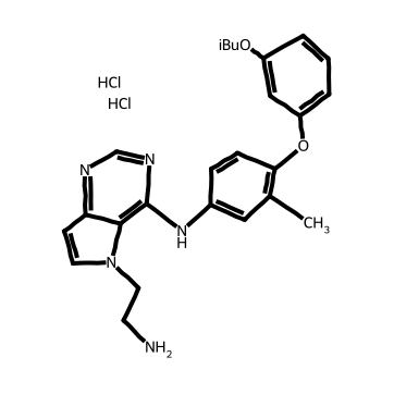 Cc1cc(Nc2ncnc3ccn(CCN)c23)ccc1Oc1cccc(OCC(C)C)c1.Cl.Cl